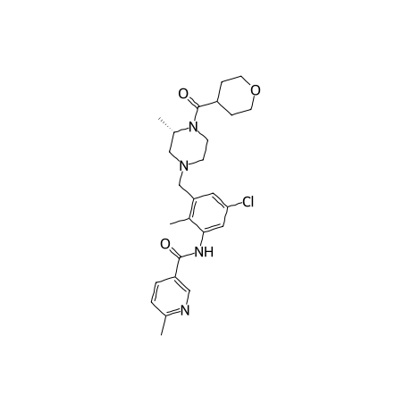 Cc1ccc(C(=O)Nc2cc(Cl)cc(CN3CCN(C(=O)C4CCOCC4)[C@@H](C)C3)c2C)cn1